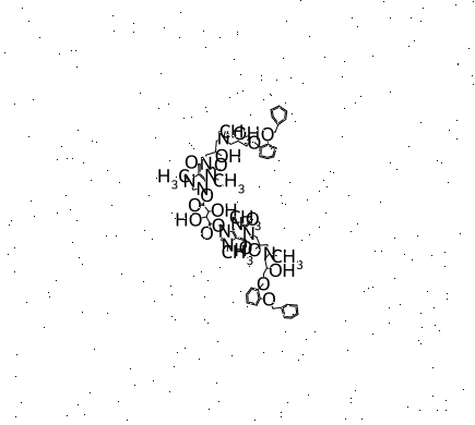 CN(CC(O)COc1ccccc1OCc1ccccc1)CC(O)Cn1c(=O)c2c(n(C)c1=O)N(OC(=O)C(O)C(O)C(=O)ON1CN(C)c3c1n(C)c(=O)n(CC(O)CN(C)CC(O)COc1ccccc1OCc1ccccc1)c3=O)CN2C